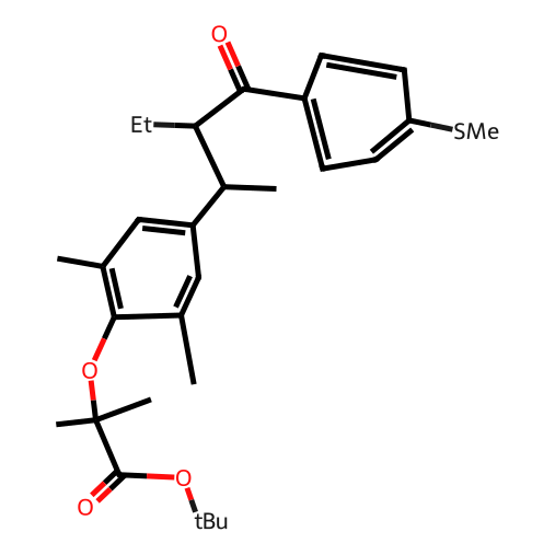 CCC(C(=O)c1ccc(SC)cc1)C(C)c1cc(C)c(OC(C)(C)C(=O)OC(C)(C)C)c(C)c1